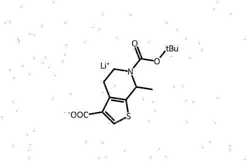 CC1c2scc(C(=O)[O-])c2CCN1C(=O)OC(C)(C)C.[Li+]